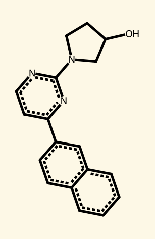 OC1CCN(c2nccc(-c3ccc4ccccc4c3)n2)C1